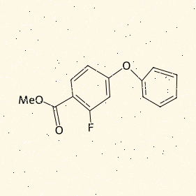 COC(=O)c1ccc(Oc2ccccc2)cc1F